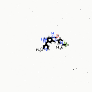 Cc1cc(-c2n[nH]c3cc4c(cc23)CN([C@@H]2CCN(C(C)C(F)(F)F)C2)C(=O)N4)ccn1